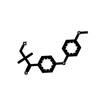 COc1ccc(Oc2ccc(C(=O)C(C)(C)CCl)cc2)cc1